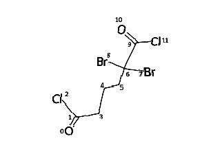 O=C(Cl)CCCC(Br)(Br)C(=O)Cl